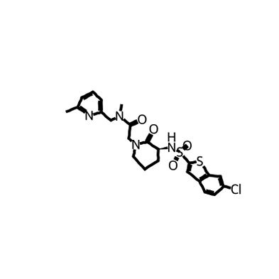 Cc1cccc(CN(C)C(=O)CN2CCC[C@H](NS(=O)(=O)c3cc4ccc(Cl)cc4s3)C2=O)n1